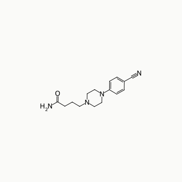 N#Cc1ccc(N2CCN(CCCC(N)=O)CC2)cc1